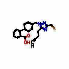 C#CCCc1nc(C=S)nn1Cc1ccc(-c2ccccc2C(=O)O)cc1